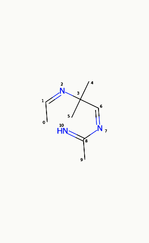 C/C=N\C(C)(C)/C=N\C(C)=N